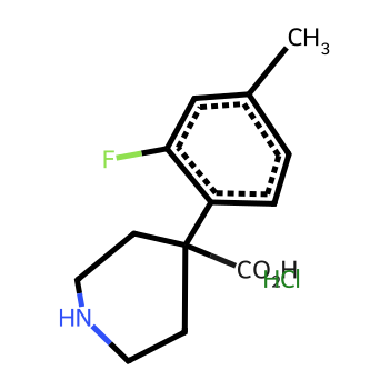 Cc1ccc(C2(C(=O)O)CCNCC2)c(F)c1.Cl